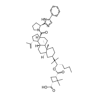 C=C(C)[C@@H]1CC[C@]2(C(=O)N3CCC[C@H]3c3ncc(-c4ccccc4)[nH]3)CC[C@]3(C)[C@H](CC[C@@H]4C[C@H](C(C)(C)[C@H](CCCC)OC(=O)[C@H]5C[C@@H](C(=O)O)C5(C)C)CC[C@]43C)[C@@H]12